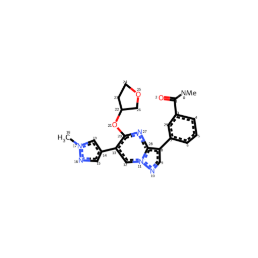 CNC(=O)c1cccc(-c2cnn3cc(-c4cnn(C)c4)c(OC4CCOC4)nc23)c1